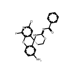 Nc1ccc2c(c1)[C@@]1(CCO/C(=N\C(=O)c3ccccc3)N1)c1cc(Cl)nc(F)c1O2